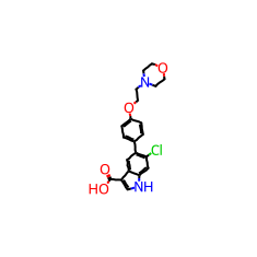 O=C(O)c1c[nH]c2cc(Cl)c(-c3ccc(OCCN4CCOCC4)cc3)cc12